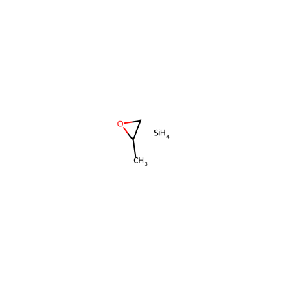 CC1CO1.[SiH4]